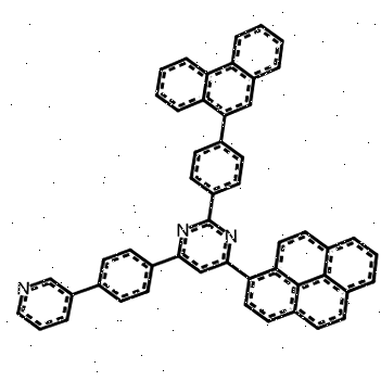 c1cncc(-c2ccc(-c3cc(-c4ccc5ccc6cccc7ccc4c5c67)nc(-c4ccc(-c5cc6ccccc6c6ccccc56)cc4)n3)cc2)c1